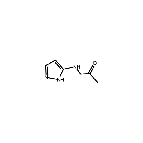 CC(=O)CNc1ccn[nH]1